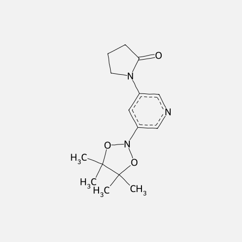 CC1(C)ON(c2cncc(N3CCCC3=O)c2)OC1(C)C